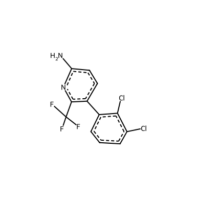 Nc1ccc(-c2cccc(Cl)c2Cl)c(C(F)(F)F)n1